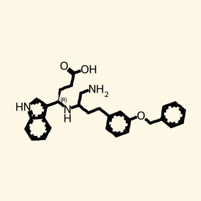 NCC(CCc1cccc(OCc2ccccc2)c1)N[C@H](CCC(=O)O)c1c[nH]c2ccccc12